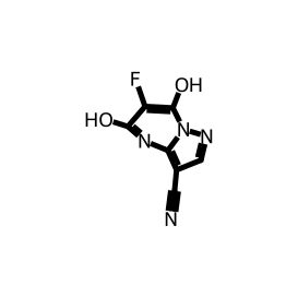 N#Cc1cnn2c(O)c(F)c(O)nc12